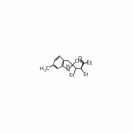 CCC(=O)C(CC)C(CC)C1(C)Cc2ccc(C)cc2N1